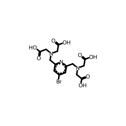 O=C(O)CN(CC(=O)O)Cc1cc(Br)cc(CN(CC(=O)O)CC(=O)O)n1